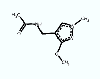 COc1nn(C)cc1CNC(C)=O